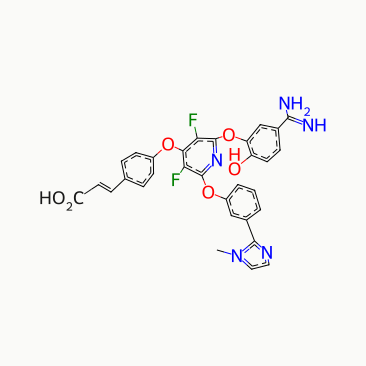 Cn1ccnc1-c1cccc(Oc2nc(Oc3cc(C(=N)N)ccc3O)c(F)c(Oc3ccc(C=CC(=O)O)cc3)c2F)c1